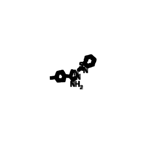 Cc1ccc(C2CN(c3nc4ccccc4s3)N=C2N)cc1